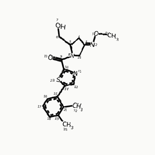 CO/N=C1\CC(CO)N(C(=O)c2ncc(-c3cccc(C)c3C)s2)C1